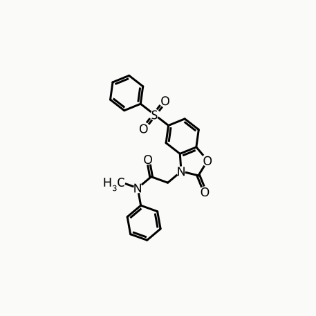 CN(C(=O)Cn1c(=O)oc2ccc(S(=O)(=O)c3ccccc3)cc21)c1ccccc1